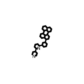 c1cc(-c2cccc(-c3ccncc3)n2)cc(-c2ccc3c4cccc5cccc(c6cccc2c63)c54)c1